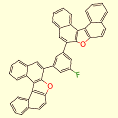 Fc1cc(-c2cc3ccccc3c3c2oc2ccc4ccccc4c23)cc(-c2cc3ccccc3c3c2oc2ccc4ccccc4c23)c1